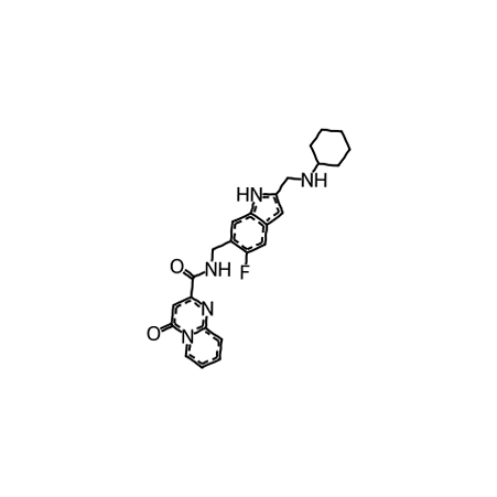 O=C(NCc1cc2[nH]c(CNC3CCCCC3)cc2cc1F)c1cc(=O)n2ccccc2n1